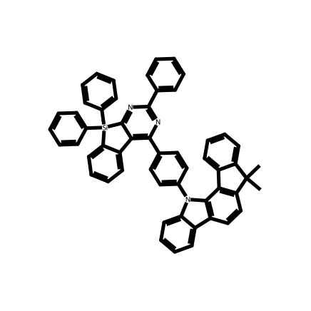 CC1(C)c2ccccc2-c2c1ccc1c3ccccc3n(-c3ccc(-c4nc(-c5ccccc5)nc5c4-c4ccccc4[Si]5(c4ccccc4)c4ccccc4)cc3)c21